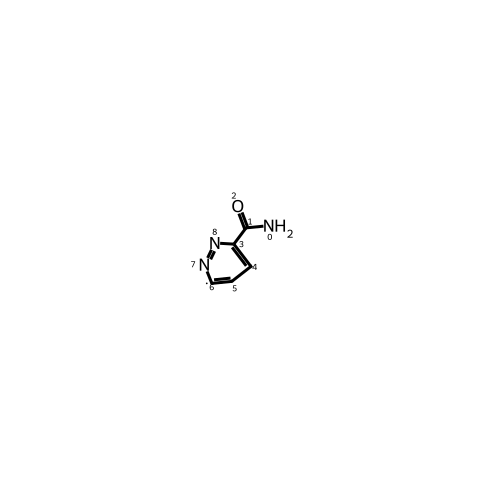 NC(=O)c1cc[c]nn1